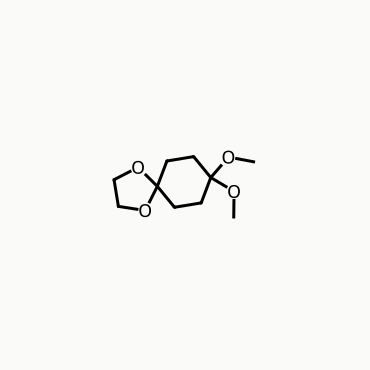 COC1(OC)CCC2(CC1)OCCO2